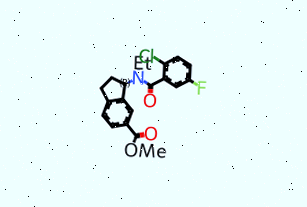 CCN(C(=O)c1cc(F)ccc1Cl)[C@@H]1CCc2ccc(C(=O)OC)cc21